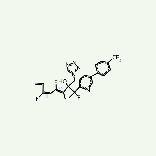 C=C/C(F)=C\C(F)=C(/C)C(O)(Cn1cnnn1)C(C)(F)c1ccc(-c2ccc(C(F)(F)F)cc2)cn1